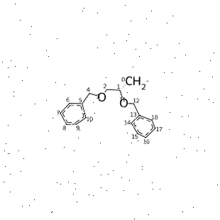 [CH2][C@@H](COCc1ccccc1)OCc1ccccc1